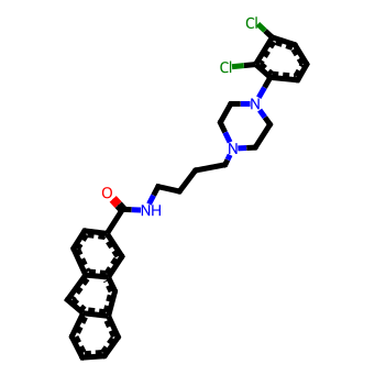 O=C(NCCCCN1CCN(c2cccc(Cl)c2Cl)CC1)c1ccc2cc3ccccc3cc2c1